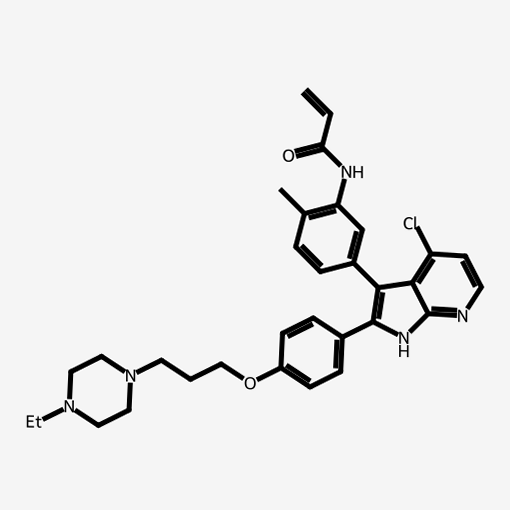 C=CC(=O)Nc1cc(-c2c(-c3ccc(OCCCN4CCN(CC)CC4)cc3)[nH]c3nccc(Cl)c23)ccc1C